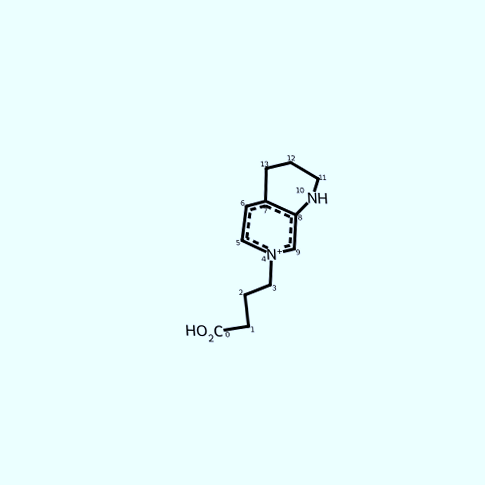 O=C(O)CCC[n+]1ccc2c(c1)NCCC2